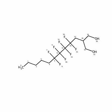 CCCCCC(F)(F)C(F)(F)C(F)(F)C(F)(F)CC(CO)CO